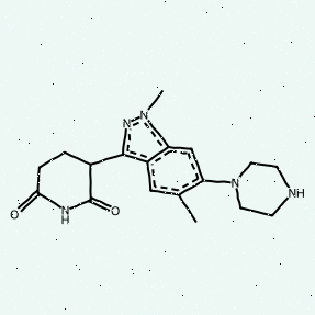 Cc1cc2c(C3CCC(=O)NC3=O)nn(C)c2cc1N1CCNCC1